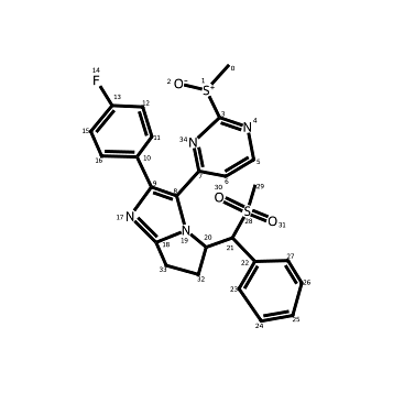 C[S+]([O-])c1nccc(-c2c(-c3ccc(F)cc3)nc3n2C(C(c2ccccc2)S(C)(=O)=O)CC3)n1